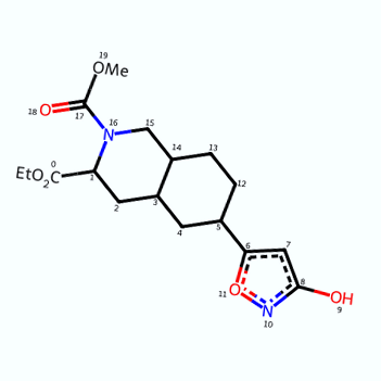 CCOC(=O)C1CC2CC(c3cc(O)no3)CCC2CN1C(=O)OC